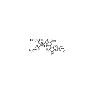 CC(=O)O[C@H](C[C@H](C(C)C)N(C)C(=O)[C@@H](NC(=O)[C@H]1CCC2CCCN1C2)C1CSC1)c1nc(C(=O)N[C@@H](Cc2ncc(C)cn2)C[C@H](C)C(=O)O)cs1